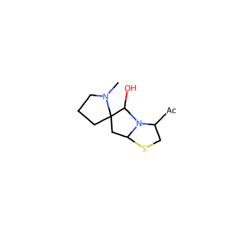 CC(=O)C1CSC2CC3(CCCN3C)C(O)N21